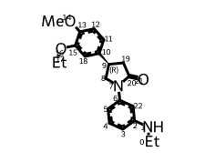 CCNc1cccc(N2C[C@@H](c3ccc(OC)c(OCC)c3)CC2=O)c1